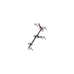 CCCCONCCCCCCCC(=O)N(CCCCCCCC(=O)N(C)OCCCC)OCCCC